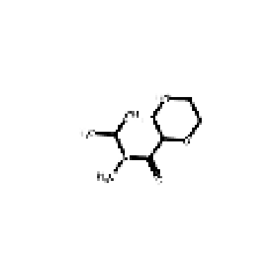 CC(C)N(C)C(=O)C1CNCCO1